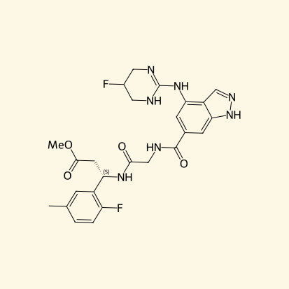 COC(=O)C[C@H](NC(=O)CNC(=O)c1cc(NC2=NCC(F)CN2)c2cn[nH]c2c1)c1cc(C)ccc1F